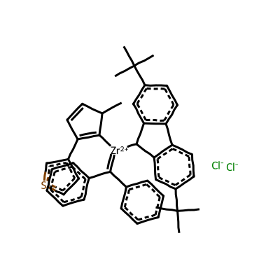 CC1C=CC(c2ccsc2)=[C]1[Zr+2](=[C](c1ccccc1)c1ccccc1)[CH]1c2cc(C(C)(C)C)ccc2-c2ccc(C(C)(C)C)cc21.[Cl-].[Cl-]